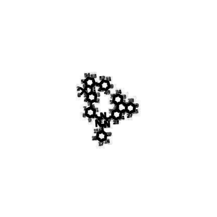 CC1(C)c2cc(-c3cccc(-c4nc(-c5ccccc5)nc(-c5ccc6c7ccccc7c7ccccc7c6c5)n4)c3)ccc2-c2c(-c3ccccc3)cccc21